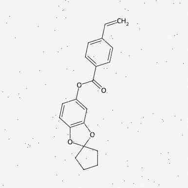 C=Cc1ccc(C(=O)Oc2ccc3c(c2)OC2(CCCC2)O3)cc1